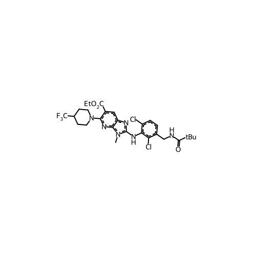 CCOC(=O)c1cc2nc(Nc3c(Cl)ccc(CNC(=O)C(C)(C)C)c3Cl)n(C)c2nc1N1CCC(C(F)(F)F)CC1